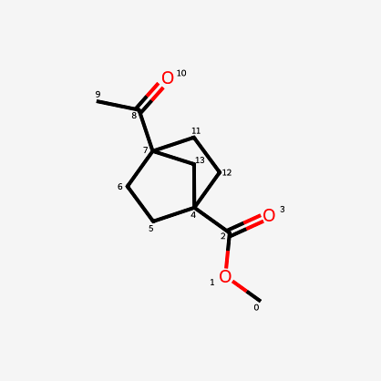 COC(=O)C12CCC(C(C)=O)(CC1)C2